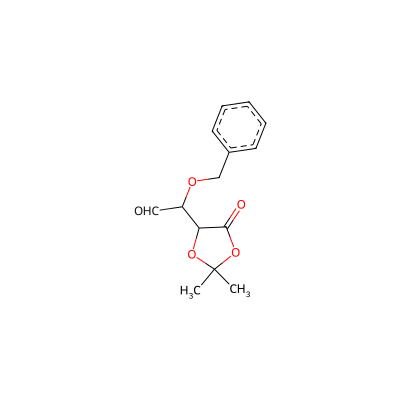 CC1(C)OC(=O)C(C(C=O)OCc2ccccc2)O1